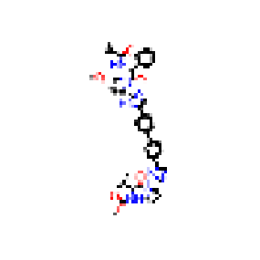 COC[C@H]1C[C@@H](c2ncc(-c3ccc(-c4ccc(-c5cnc([C@@H]6CC[C@H](C)N6C(=O)[C@@H](NC(=O)OC)C(C)C)[nH]5)cc4)cc3)[nH]2)N(C(O)[C@H](NC(=O)C2CC2)c2ccccc2)C1